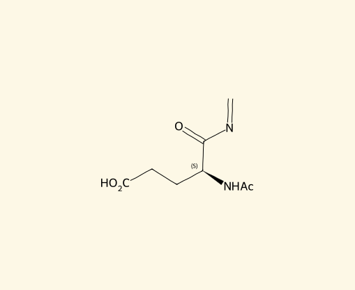 C=NC(=O)[C@H](CCC(=O)O)NC(C)=O